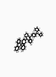 c1ccc(N(c2ccccc2)c2ccc(-c3c4ccccc4c(-c4ccc(C5(c6ccccc6)c6ccccc6-c6ccccc65)cc4)c4ccccc34)cc2)cc1